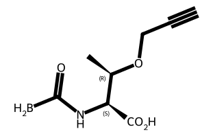 BC(=O)N[C@H](C(=O)O)[C@@H](C)OCC#C